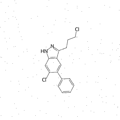 Cl[CH]CCc1n[nH]c2cc(Cl)c(-c3ccccc3)cc12